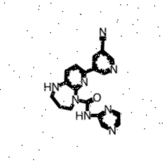 N#Cc1cncc(-c2ccc3c(n2)N(C(=O)Nc2cnccn2)CCCN3)c1